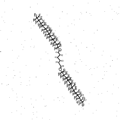 FC(F)(F)C(F)(F)C(F)(F)C(F)(F)C(F)(F)C(F)(F)C(F)(F)C(F)(F)C(F)(F)C(F)(F)C(F)(F)C(F)(F)OCCCCCCOC(F)(F)C(F)(F)C(F)(F)C(F)(F)C(F)(F)C(F)(F)C(F)(F)C(F)(F)C(F)(F)C(F)(F)C(F)(F)C(F)(F)F